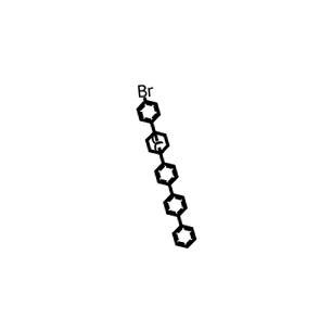 Brc1ccc(C23CCC(c4ccc(-c5ccc(-c6ccccc6)cc5)cc4)(CC2)CC3)cc1